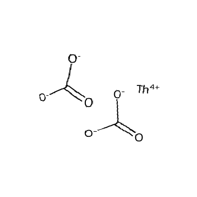 O=C([O-])[O-].O=C([O-])[O-].[Th+4]